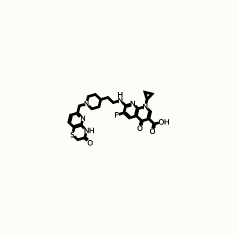 O=C1CSc2ccc(CN3CCC(CCNc4nc5c(cc4F)c(=O)c(C(=O)O)cn5C4CC4)CC3)nc2N1